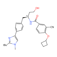 Cn1cc(-c2ccc(C[C@@H](CCO)NC(=O)c3ccc(OC4CCC4)c(C#N)c3)cc2)nc1C(C)(C)C